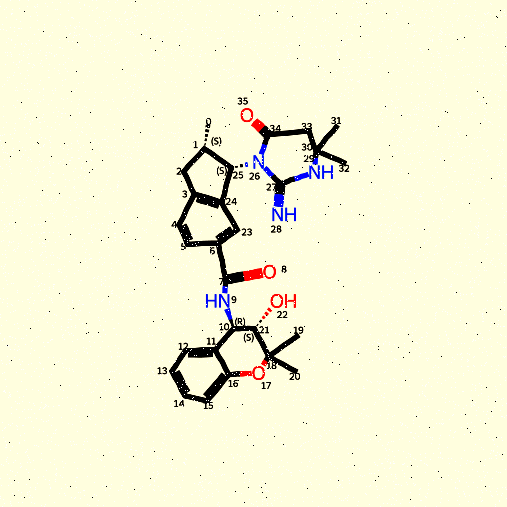 C[C@H]1Cc2ccc(C(=O)N[C@@H]3c4ccccc4OC(C)(C)[C@H]3O)cc2[C@H]1N1C(=N)NC(C)(C)CC1=O